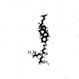 CC(C)CCC[C@@]1(C)C[C@@]12CC[C@H]1[C@@H]3CC=C4C[C@@H](SSCCC(=O)N(CCC(C)N)CCC(C)N)CC[C@]4(C)[C@H]3CC[C@@]12C